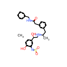 C.C[C@H](Cc1cccc(CC(=O)NCc2ccccc2)c1)NC[C@H](O)c1ccc(O)c(N=S(=O)=O)c1